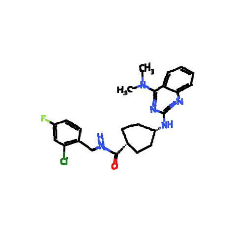 CN(C)c1nc(N[C@H]2CC[C@@H](C(=O)NCc3ccc(F)cc3Cl)CC2)nc2ccccc12